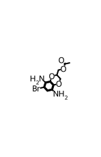 CC(=O)OCC1COc2c(N)cc(Br)c(N)c2O1